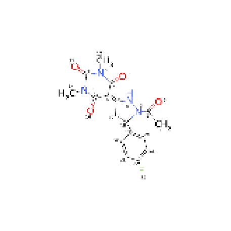 CC(=O)N1NC(=C2C(=O)N(C)C(=O)N(C)C2=O)CC1c1ccc(F)cc1